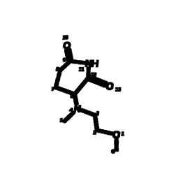 COCCN(C)C1CCC(=O)NC1=O